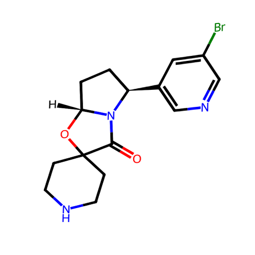 O=C1N2[C@@H](CC[C@H]2c2cncc(Br)c2)OC12CCNCC2